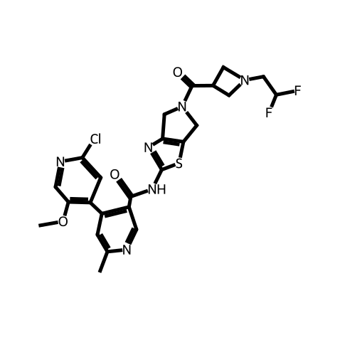 COc1cnc(Cl)cc1-c1cc(C)ncc1C(=O)Nc1nc2c(s1)CN(C(=O)C1CN(CC(F)F)C1)C2